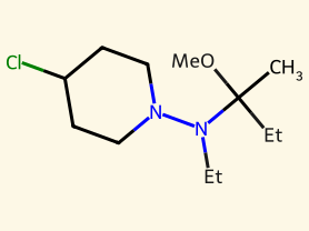 CCN(N1CCC(Cl)CC1)C(C)(CC)OC